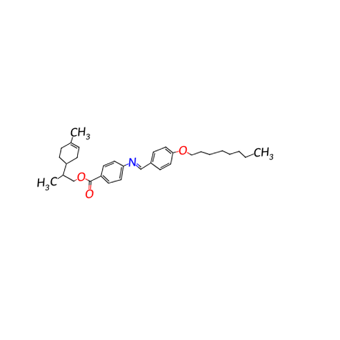 CCCCCCCCOc1ccc(C=Nc2ccc(C(=O)OCC(C)C3CC=C(C)CC3)cc2)cc1